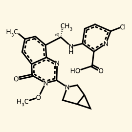 COn1c(N2CC3CC3C2)nc2c([C@H](C)Nc3ccc(Cl)nc3C(=O)O)cc(C)cc2c1=O